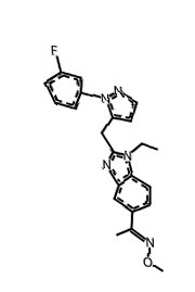 CCn1c(Cc2ccnn2-c2cccc(F)c2)nc2cc(C(C)=NOC)ccc21